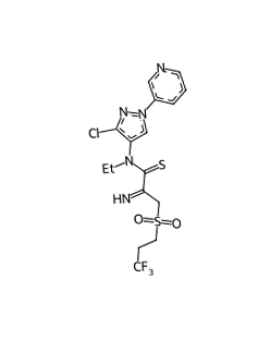 CCN(C(=S)C(=N)CS(=O)(=O)CCC(F)(F)F)c1cn(-c2cccnc2)nc1Cl